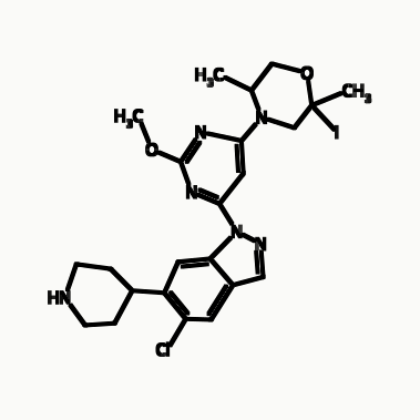 COc1nc(N2CC(C)(I)OCC2C)cc(-n2ncc3cc(Cl)c(C4CCNCC4)cc32)n1